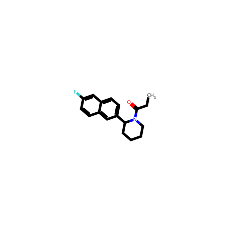 CCC(=O)N1CCCCC1c1ccc2cc(F)ccc2c1